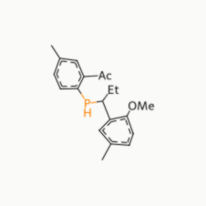 CCC(Pc1ccc(C)cc1C(C)=O)c1cc(C)ccc1OC